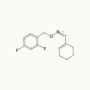 Fc1ccc(CO/N=[C]\C2=CCCCC2)c(F)c1